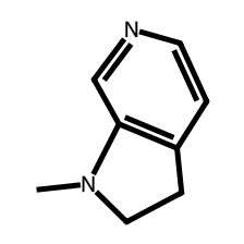 CN1CCc2ccncc21